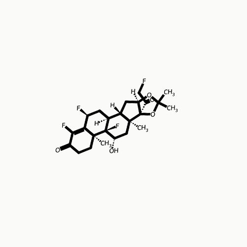 CC1(C)O[C@@H]2C[C@H]3[C@@H]4C[C@H](F)C5=C(F)C(=O)CC[C@]5(C)[C@@]4(F)[C@@H](O)C[C@]3(C)[C@]2(C(=O)CF)O1